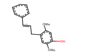 COc1cc(C/C=C/c2ccccc2)c(OC)cc1O